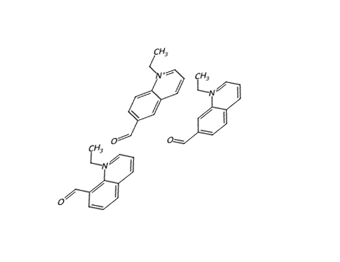 CC[n+]1cccc2cc(C=O)ccc21.CC[n+]1cccc2ccc(C=O)cc21.CC[n+]1cccc2cccc(C=O)c21